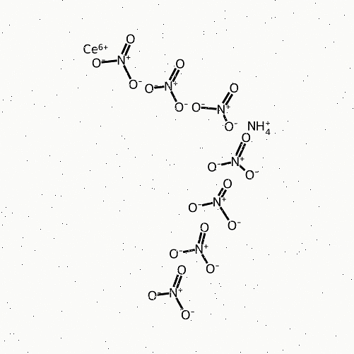 O=[N+]([O-])[O-].O=[N+]([O-])[O-].O=[N+]([O-])[O-].O=[N+]([O-])[O-].O=[N+]([O-])[O-].O=[N+]([O-])[O-].O=[N+]([O-])[O-].[Ce+6].[NH4+]